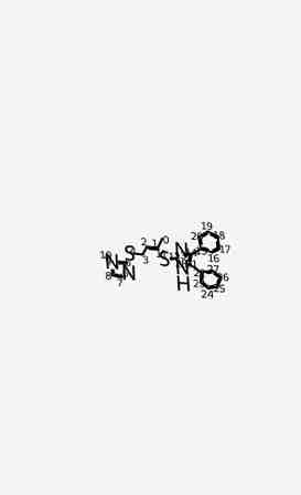 C/C(=C/CSc1nccn1C)Sc1nc(-c2ccccc2)c(-c2ccccc2)[nH]1